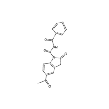 CC(=O)c1ccc2c(c1)CC(=O)N2C(=O)NC(=O)c1ccccc1